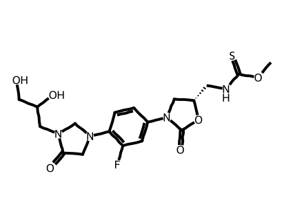 COC(=S)NC[C@H]1CN(c2ccc(N3CC(=O)N(CC(O)CO)C3)c(F)c2)C(=O)O1